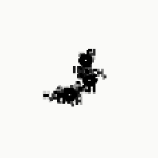 Cc1ccc(NC(=O)Nc2ccc(C(C)(C)C)cc2)cc1S(=O)(=O)Nc1ccc(Cl)cc1